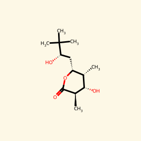 C[C@@H]1[C@H](O)[C@@H](C)C(=O)O[C@@H]1C[C@H](O)C(C)(C)C